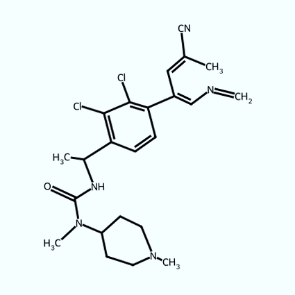 C=N/C=C(\C=C(/C)C#N)c1ccc(C(C)NC(=O)N(C)C2CCN(C)CC2)c(Cl)c1Cl